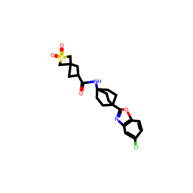 O=C(NC12CCC(c3nc4cc(Cl)ccc4o3)(CC1)CC2)C1CC2(C1)CS(=O)(=O)C2